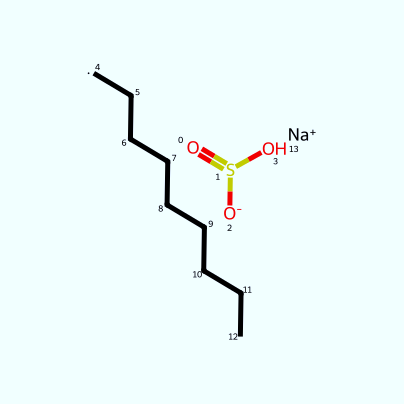 O=S([O-])O.[CH2]CCCCCCCC.[Na+]